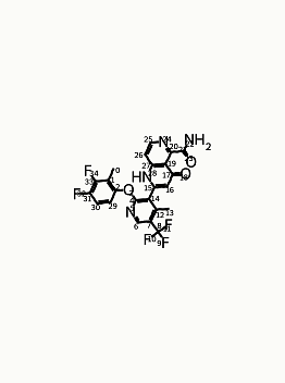 Cc1c(Oc2ncc(C(F)(F)F)c(C)c2-c2cc(=O)c3c(C(N)=O)nccc3[nH]2)ccc(F)c1F